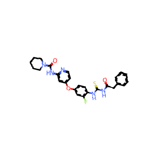 O=C(Cc1ccccc1)NC(=S)Nc1ccc(Oc2ccnc(NC(=O)N3CCCCC3)c2)cc1F